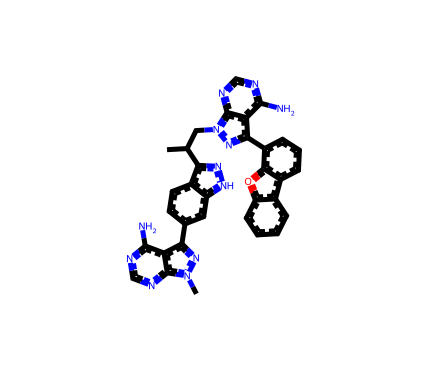 CC(Cn1nc(-c2cccc3c2oc2ccccc23)c2c(N)ncnc21)c1n[nH]c2cc(-c3nn(C)c4ncnc(N)c34)ccc12